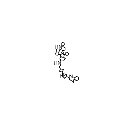 O=C1CCC(N2C(=O)c3ccc(NCCC4CC(n5cc(-c6cnc7ccccc7n6)cn5)C4)cc3C2=O)C(=O)N1